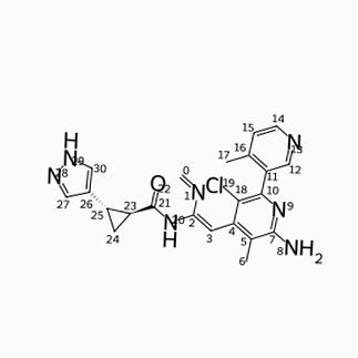 C=N/C(=C\c1c(C)c(N)nc(-c2cnccc2C)c1Cl)NC(=O)[C@H]1C[C@@H]1c1cn[nH]c1